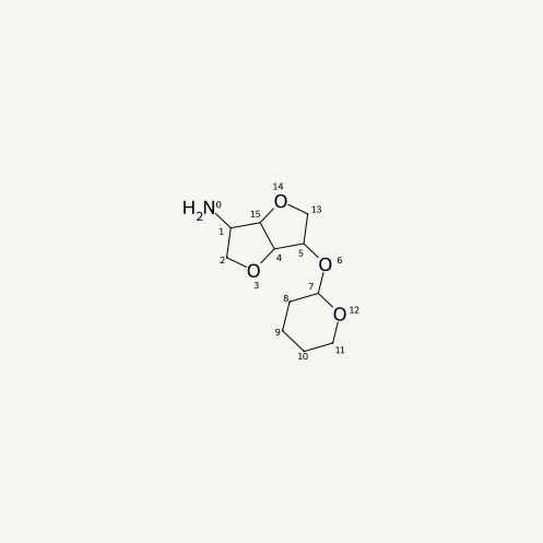 NC1COC2C(OC3CCCCO3)COC12